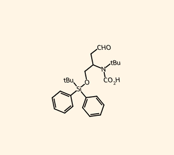 CC(C)(C)N(C(=O)O)C(CC=O)CO[Si](c1ccccc1)(c1ccccc1)C(C)(C)C